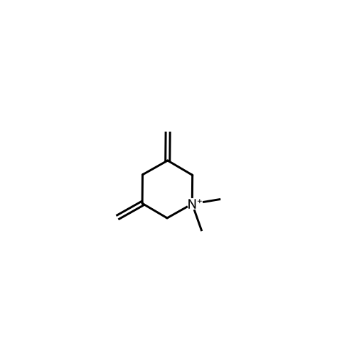 C=C1CC(=C)C[N+](C)(C)C1